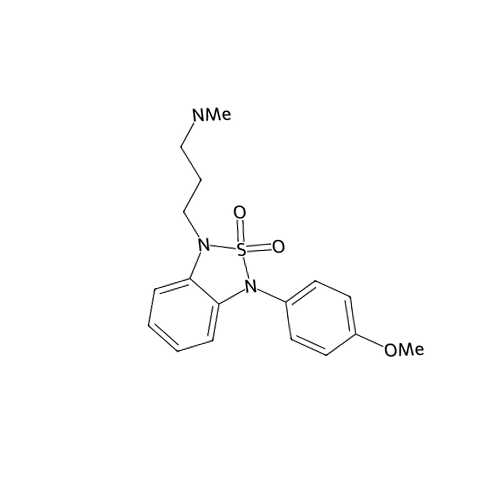 CNCCCN1c2ccccc2N(c2ccc(OC)cc2)S1(=O)=O